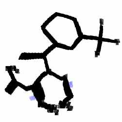 C=C(N)/C(=N/N)N(/N=C\N)C(=C)C1CCCC(C(F)(F)F)C1